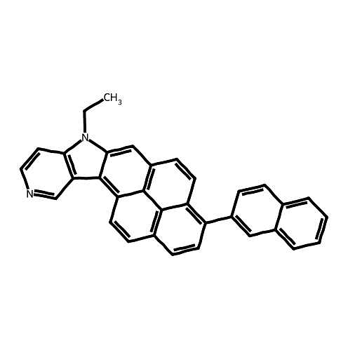 CCn1c2ccncc2c2c3ccc4ccc(-c5ccc6ccccc6c5)c5ccc(cc21)c3c45